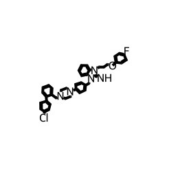 N=c1n(CCCOc2ccc(F)cc2)c2ccccc2n1Cc1ccc(N2CCN(Cc3ccccc3-c3ccc(Cl)cc3)CC2)cc1